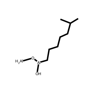 CC(C)CCCC[CH2][Al]([OH])[O][AlH2]